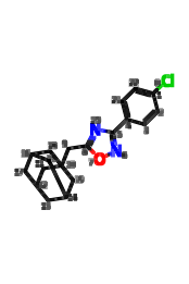 Clc1ccc(-c2noc(CC34CC5CC(CC(C5)C3)C4)n2)cc1